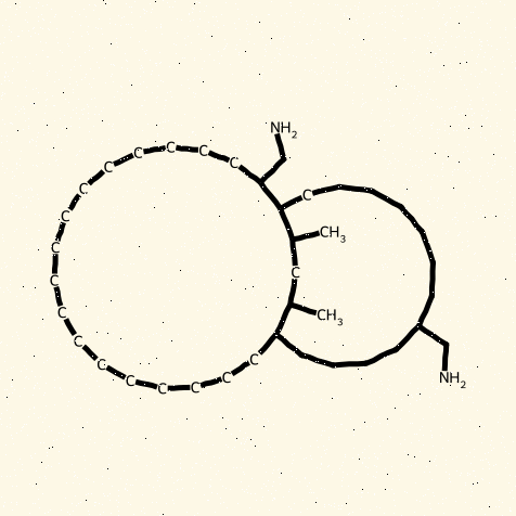 CC1CC(C)C2CCCCCCCC(CN)CCCCC1CCCCCCCCCCCCCCCCCC2CN